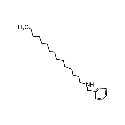 CCCCCCCCCCCCCCCNCc1ccccc1